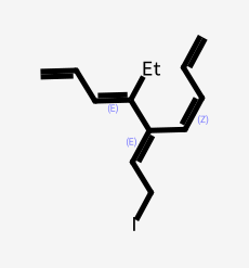 C=C\C=C/C(=C\CI)C(=C/C=C)/CC